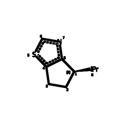 CC(C)[C@H]1CCc2scnc21